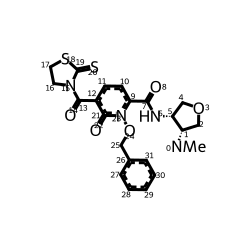 CN[C@H]1COC[C@H]1NC(=O)c1ccc(C(=O)N2CCSC2=S)c(=O)n1OCc1ccccc1